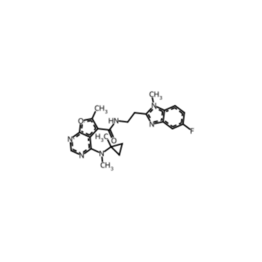 Cc1oc2ncnc(N(C)C3(C)CC3)c2c1C(=O)NCCc1nc2cc(F)ccc2n1C